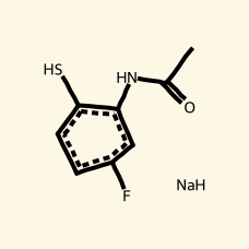 CC(=O)Nc1cc(F)ccc1S.[NaH]